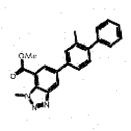 COC(=O)c1cc(-c2ccc(-c3ccccc3)c(C)c2)cc2nnn(C)c12